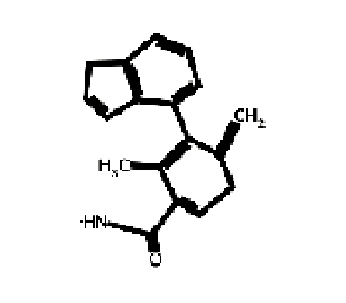 C=C1CC=C(C([NH])=O)C(C)=C1c1cccc2c1C=CC2